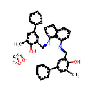 CC(=O)[O-].CC(=O)[O-].Cc1cc(-c2ccccc2)cc(C=Nc2cccc3cccc(N=Cc4cc(-c5ccccc5)cc(C)c4O)c23)c1O.[Co+2]